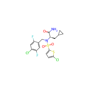 NC(=O)[C@@H](CC1CC1)N(Cc1cc(F)c(Cl)cc1F)S(=O)(=O)c1ccc(Cl)s1